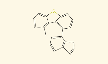 Cc1cccc2sc3cccc(-c4cccc5c4CC=C5)c3c12